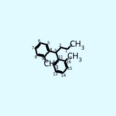 CCCC(c1ccccc1C)c1ccccc1C